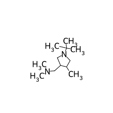 CC1CN(C(C)(C)C)CC1CN(C)C